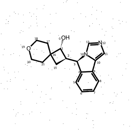 O[C@@H]1[C@@H]([C@@H]2c3ccccc3-c3cncn32)CC12CCOCC2